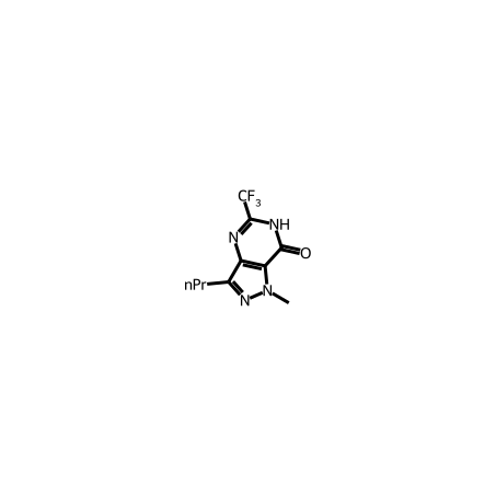 CCCc1nn(C)c2c(=O)[nH]c(C(F)(F)F)nc12